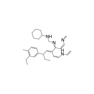 C=CN\C=C/C(=C\C(CC)c1ccc(C)c(CC)c1)C(/C=C\N=C)=N\CNC1CCCCC1